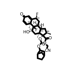 C[C@@H]1C[C@H]2[C@@H]3C[C@H](F)C4=CC(=O)C=C[C@]4(C)C3(F)[C@@H](O)C[C@]2(C)[C@]1(OC(=O)OC1CC2CCC1C2)C(=O)OCC#N